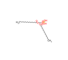 CCCCCCCCCCCCCCCC(=O)OCC(COP(=O)(O)SO)OC(=O)CCCCCCCCCCCCCCC